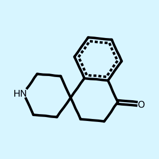 O=C1CCC2(CCNCC2)c2ccccc21